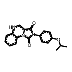 CC(C)Oc1ccc(-n2c(=O)c3c[nH]c4ccccc4n-3c2=O)cc1